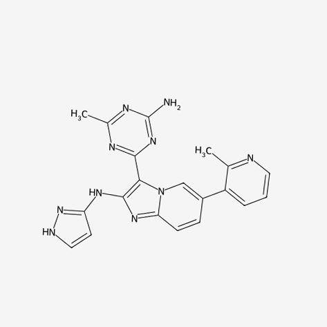 Cc1nc(N)nc(-c2c(Nc3cc[nH]n3)nc3ccc(-c4cccnc4C)cn23)n1